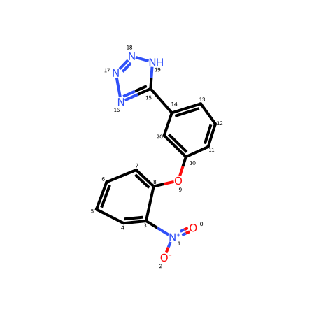 O=[N+]([O-])c1ccccc1Oc1cccc(-c2nnn[nH]2)c1